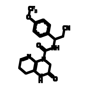 N#CCC(NC(=O)N1CC(=O)NC2=C1N=CCC2)c1ccc(OC(F)(F)F)cc1